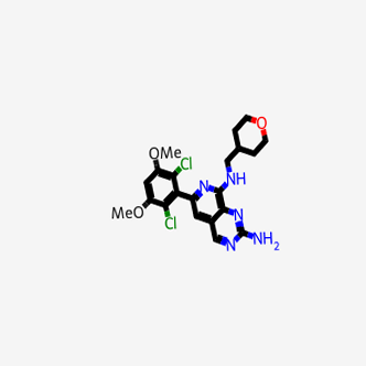 COc1cc(OC)c(Cl)c(-c2cc3cnc(N)nc3c(NCC3CCOCC3)n2)c1Cl